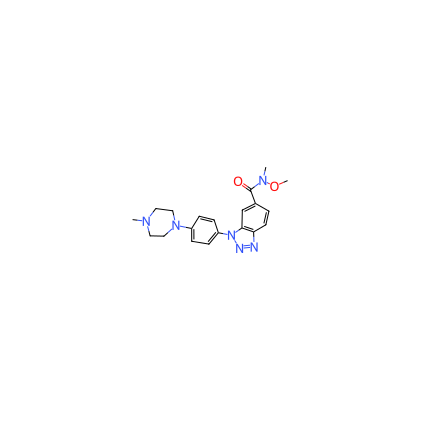 CON(C)C(=O)c1ccc2nnn(-c3ccc(N4CCN(C)CC4)cc3)c2c1